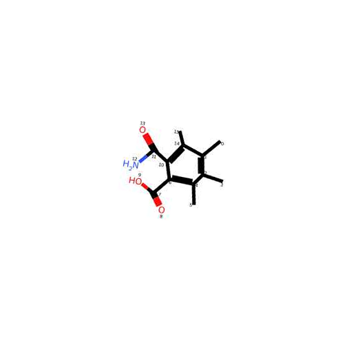 Cc1c(C)c(C)c(C(=O)O)c(C(N)=O)c1C